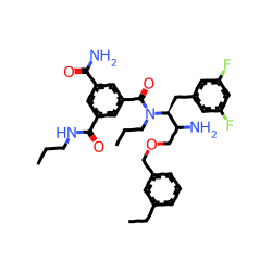 CCCNC(=O)c1cc(C(N)=O)cc(C(=O)N(CCC)[C@@H](Cc2cc(F)cc(F)c2)C(N)COCc2cccc(CC)c2)c1